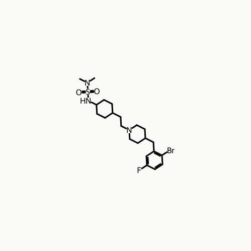 CN(C)S(=O)(=O)NC1CCC(CCN2CCC(Cc3cc(F)ccc3Br)CC2)CC1